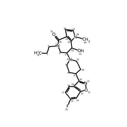 CCCN1CC(N2CCC(c3noc4cc(F)ccc34)CC2)C(O)c2c(ccn2C)C1=O